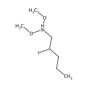 CCCC(I)C[SiH](OC)OC